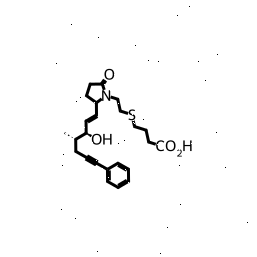 C[C@@H](CC#Cc1ccccc1)[C@H](O)C=CC1CCC(=O)N1CCSCCCC(=O)O